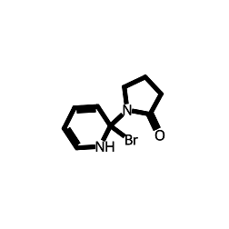 O=C1CCCN1C1(Br)C=CC=CN1